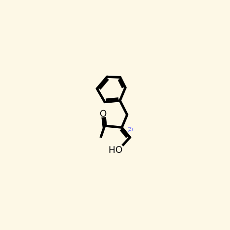 CC(=O)/C(=C\O)Cc1ccccc1